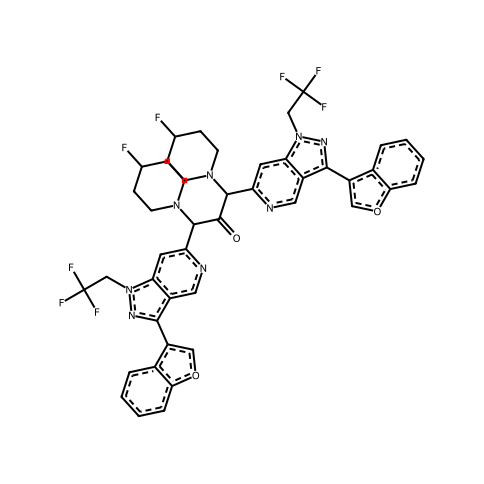 O=C(C(c1cc2c(cn1)c(-c1coc3ccccc13)nn2CC(F)(F)F)N1CCC(F)CC1)C(c1cc2c(cn1)c(-c1coc3ccccc13)nn2CC(F)(F)F)N1CCC(F)CC1